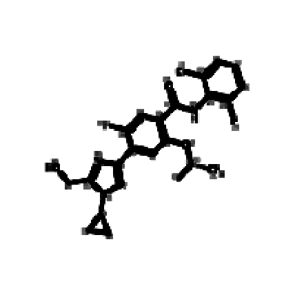 C[C@H](Oc1cc(-c2cn(C3CC3)c(CO)n2)c(F)cc1C(=O)Nc1c(F)cccc1Cl)C(F)(F)F